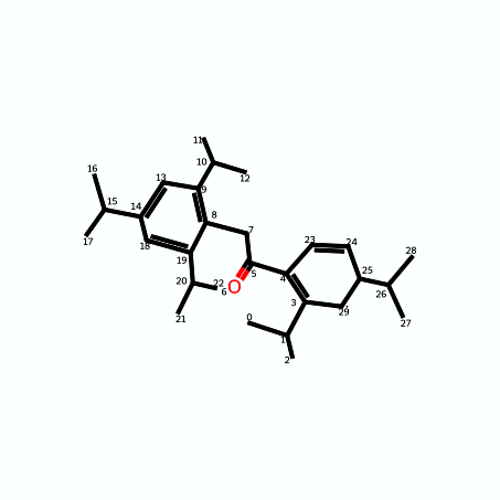 CC(C)C1=C(C(=O)Cc2c(C(C)C)cc(C(C)C)cc2C(C)C)C=CC(C(C)C)[CH]1